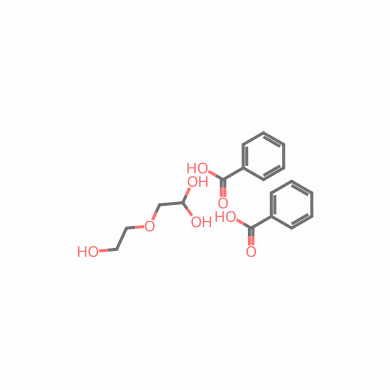 O=C(O)c1ccccc1.O=C(O)c1ccccc1.OCCOCC(O)O